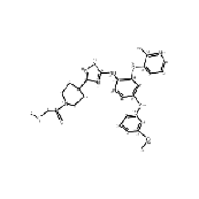 COCC(=O)N1CCC(c2nsc(Nc3ncc(Sc4cccc(OC)c4)cc3Oc3cccnc3C)n2)CC1